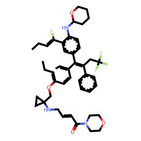 C/C=C(\C=C/C(=C/CC)OCC1(NC/C=C/C(=O)N2CCOCC2)CC1)C(=C(/CC(F)(F)F)c1ccccc1)/c1ccc(NC2CCCCO2)c(/C(F)=C/CC)c1